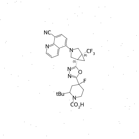 CC(C)(C)C1CC(F)(c2nnc([C@]34CN(c5ccc(C#N)c6ncccc56)C[C@@]3(C(F)(F)F)C4)o2)CCN1C(=O)O